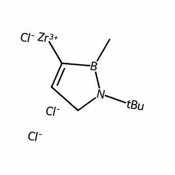 CB1[C]([Zr+3])=CCN1C(C)(C)C.[Cl-].[Cl-].[Cl-]